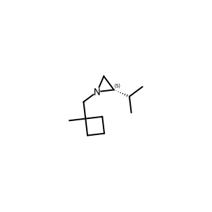 CC(C)[C@H]1CN1CC1(C)CCC1